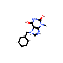 Cn1c(=O)[nH]c(=O)c2c1ncn2CC1CCCCC1